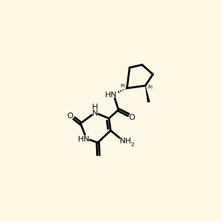 C=C1NC(=O)NC(C(=O)N[C@@H]2CCC[C@H]2C)=C1N